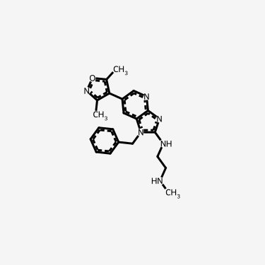 CNCCNc1nc2ncc(-c3c(C)noc3C)cc2n1Cc1ccccc1